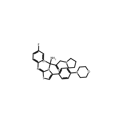 CCC(N)(C(=O)CN1CCCC1)n1c(-c2ccc(N3CCOCC3)cc2)cs/c1=N/c1ccc(F)cc1